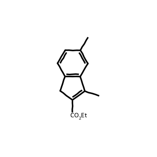 CCOC(=O)C1=C(C)c2cc(C)ccc2C1